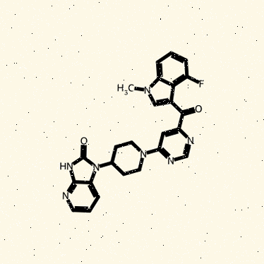 Cn1cc(C(=O)c2cc(N3CCC(n4c(=O)[nH]c5ncccc54)CC3)ncn2)c2c(F)cccc21